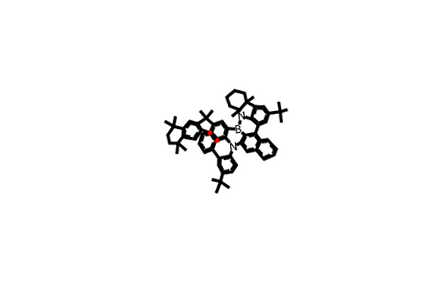 CC(C)(C)c1ccc(N2c3cc4c(cc3B3c5c2cc2ccccc2c5-c2cc(C(C)(C)C)cc5c2N3C2(C)CCCCC52C)C(C)(C)c2cc3c(cc2-4)C(C)(C)CCC3(C)C)c(-c2ccccc2)c1